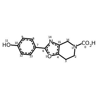 O=C(O)N1CCc2oc(-c3ccc(O)cc3)nc2C1